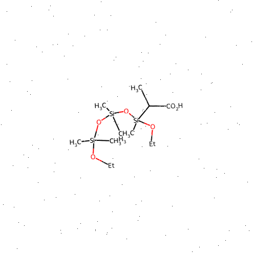 CCO[Si](C)(C)O[Si](C)(C)O[Si](C)(OCC)C(C)C(=O)O